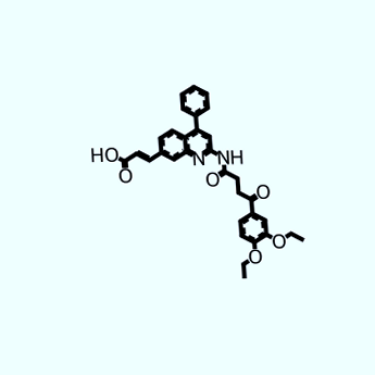 CCOc1ccc(C(=O)CCC(=O)Nc2cc(-c3ccccc3)c3ccc(C=CC(=O)O)cc3n2)cc1OCC